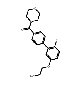 O=C(c1ccc(-c2cc(OCCO)ccc2F)cc1)N1CCOCC1